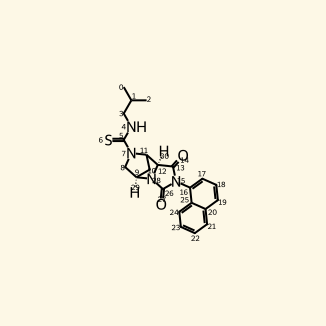 CC(C)CNC(=S)N1C[C@H]2CC1[C@H]1C(=O)N(c3cccc4ccccc34)C(=O)N21